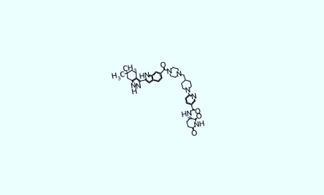 CC1(C)CCc2c(-c3cc4ccc(C(=O)N5CCN(CC6CCN(c7ccc(C(=O)N[C@H]8CCC(=O)NC8=O)cn7)CC6)CC5)cc4[nH]3)n[nH]c2C1